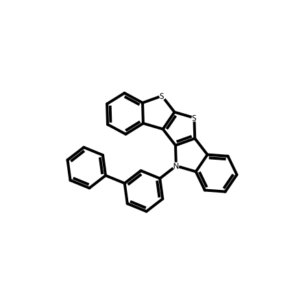 c1ccc(-c2cccc(-n3c4ccccc4c4sc5sc6ccccc6c5c43)c2)cc1